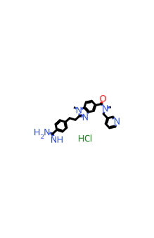 CN(Cc1cccnc1)C(=O)c1ccc2c(c1)nc(CCc1ccc(C(=N)N)cc1)n2C.Cl